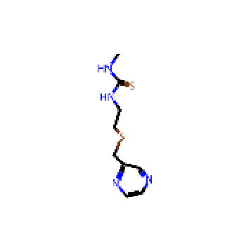 CNC(=S)NCCSCc1cnccn1